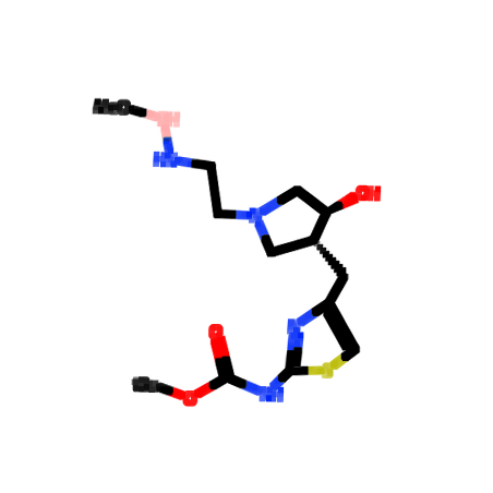 COBNCCN1C[C@@H](Cc2csc(NC(=O)OC(C)(C)C)n2)[C@H](O)C1